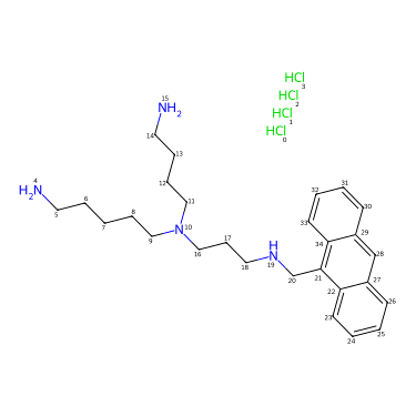 Cl.Cl.Cl.Cl.NCCCCCN(CCCCN)CCCNCc1c2ccccc2cc2ccccc12